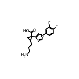 NCCCC1CC1(C(=O)O)c1cn(-c2ccc(F)c(F)c2)cn1